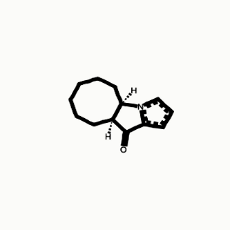 O=C1c2cccn2[C@@H]2CCCCCC[C@H]12